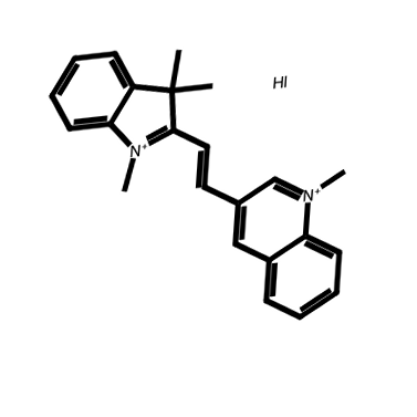 C[N+]1=C(C=Cc2cc3ccccc3[n+](C)c2)C(C)(C)c2ccccc21.I